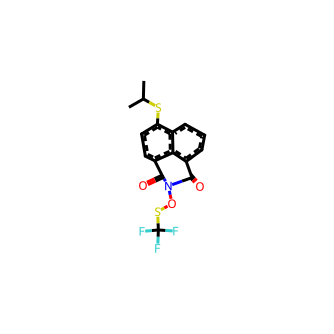 CC(C)Sc1ccc2c3c(cccc13)C(=O)N(OSC(F)(F)F)C2=O